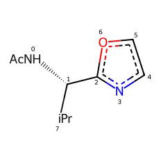 CC(=O)N[C@H](c1ncco1)C(C)C